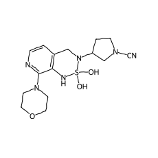 N#CN1CCC(N2Cc3ccnc(N4CCOCC4)c3NS2(O)O)C1